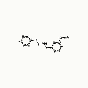 CCCOc1cccc(CNCCc2ccccc2)c1